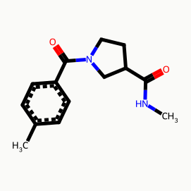 CNC(=O)C1CCN(C(=O)c2ccc(C)cc2)C1